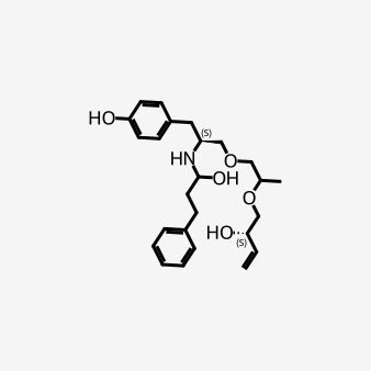 C=C[C@H](O)COC(C)COC[C@H](Cc1ccc(O)cc1)NC(O)CCc1ccccc1